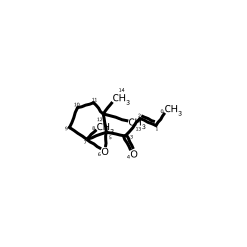 CC=CC(=O)C12OC1(C)CCCC2(C)C